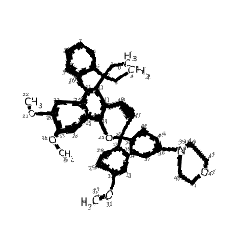 CCC1(CC)c2ccccc2-c2c1c1c(c3cc(OC)c(OC)cc23)OC(c2ccc(OC)cc2)(c2ccc(N3CCOCC3)cc2)C=C1